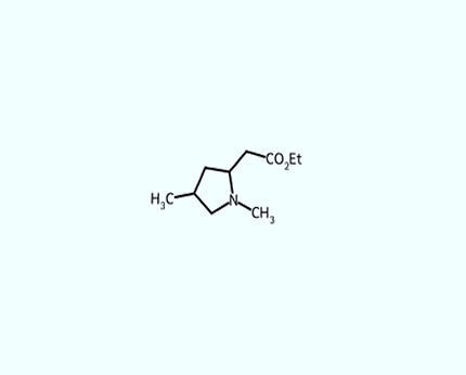 CCOC(=O)CC1CC(C)CN1C